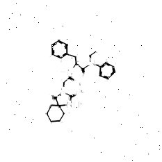 CCN(C(=O)C(Cc1ccccc1)NC(=O)CN1C(=O)NC2(CCCCC2)C1=O)c1ccccc1